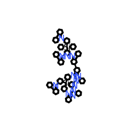 c1ccc([Si](c2ccccc2)(c2cccc(-n3c4ccccc4c4ccccc43)c2)c2cc(-n3c4ccccc4c4ccccc43)nc(-n3c4ccccc4c4cc(-c5ccc6c(c5)nc5n(-c7cc([Si](c8ccccc8)(c8ccccc8)c8cccc(-n9c%10ccccc%10c%10ccccc%109)c8)cc(-n8c9ccccc9n9c%10ccccc%10nc89)n7)c7ccccc7n65)ccc43)c2)cc1